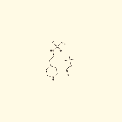 CC(C)(C)OC=O.NS(=O)(=O)NCCN1CCNCC1